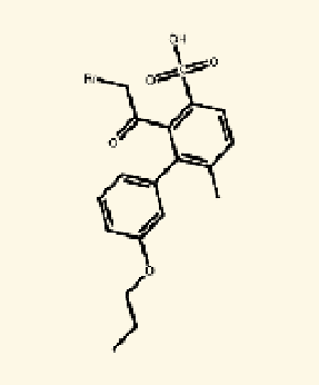 CCCOc1cccc(-c2c(C)ccc(S(=O)(=O)O)c2C(=O)CBr)c1